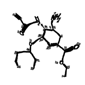 C#CC(=O)N[C@@H]1[C@@H](N)CC(C(=O)OCC)=C[C@H]1OC(CC)CC